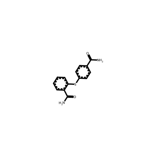 NC(=O)c1ccc(Sc2ccccc2C(N)=O)cc1